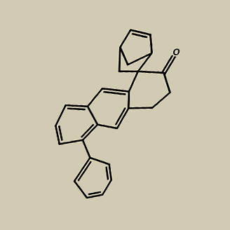 O=C1CCc2cc3c(-c4ccccc4)cccc3cc2C12CC1C=CC2C1